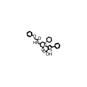 O=C(COc1ccccc1)N[C@@H]1CC(=O)N(c2cc(-c3ccccc3)sc2C(=O)O)[C@@H](C2CCCCC2)C1